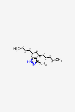 Cc1cc[nH]n1.[CH2]CCCCCCCCCCC